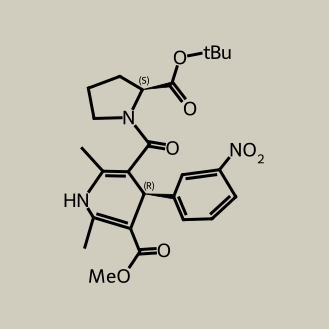 COC(=O)C1=C(C)NC(C)=C(C(=O)N2CCC[C@H]2C(=O)OC(C)(C)C)[C@H]1c1cccc([N+](=O)[O-])c1